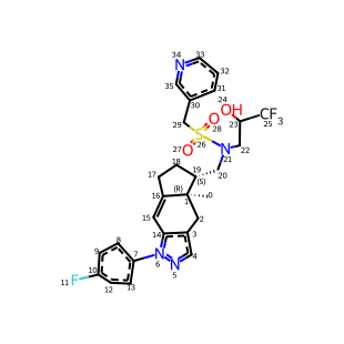 C[C@]12Cc3cnn(-c4ccc(F)cc4)c3C=C1CC[C@@H]2CN(CC(O)C(F)(F)F)S(=O)(=O)Cc1cccnc1